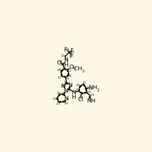 COc1cc(-c2nc(Nc3ccc(N)c(C=N)c3Cl)n(-c3ccccn3)n2)ccc1C(=O)NCC(F)(F)F